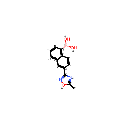 Cc1nc(-c2ccc3c(B(O)O)cccc3c2)no1